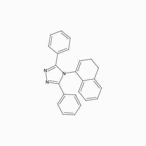 C1=C(n2c(-c3ccccc3)nnc2-c2ccccc2)c2ccccc2CC1